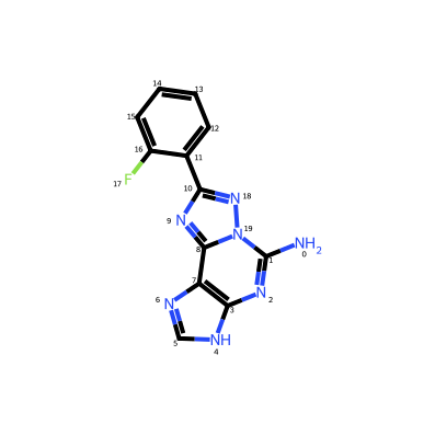 Nc1nc2[nH]cnc2c2nc(-c3ccccc3F)nn12